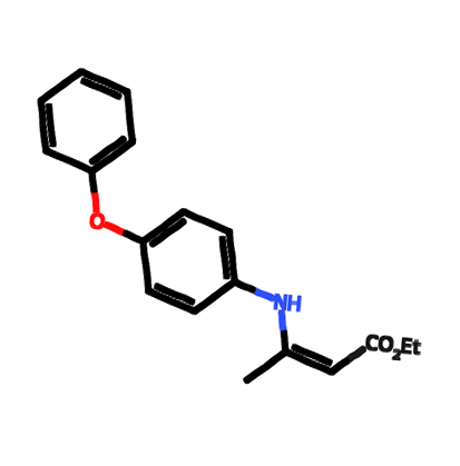 CCOC(=O)/C=C(/C)Nc1ccc(Oc2ccccc2)cc1